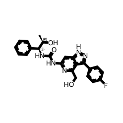 C[C@@H](O)[C@@H](NC(=O)Nc1cc2[nH]nc(-c3ccc(F)cc3)c2c(CO)n1)c1ccccc1